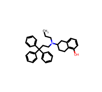 CCCN(CCC(c1ccccc1)(c1ccccc1)c1ccccc1)C1CCc2c(O)cccc2C1